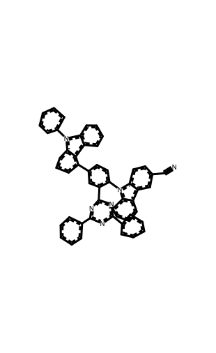 N#Cc1ccc2c(c1)c1ccccc1n2-c1ccc(-c2cccc3c2c2ccccc2n3-c2ccccc2)cc1-c1nc(-c2ccccc2)nc(-c2ccccc2)n1